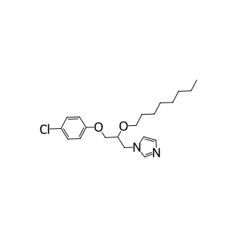 CCCCCCCCOC(COc1ccc(Cl)cc1)Cn1ccnc1